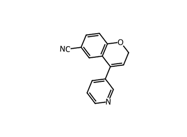 N#Cc1ccc2c(c1)C(c1cccnc1)=CCO2